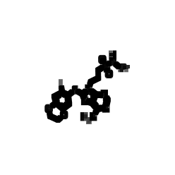 CC(C)NS(=O)(=O)CCCn1c(Sc2cc3c(cc2I)OCCO3)nc2c(N)ncnc21